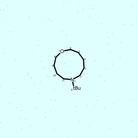 CC(C)(C)N1CCCCCOCCCC1